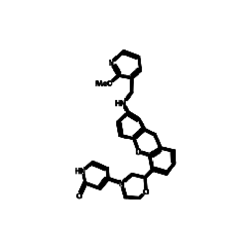 COc1ncccc1CNc1ccc2c(c1)Cc1cccc(C3CN(c4cc[nH]c(=O)c4)CCO3)c1O2